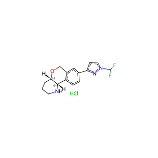 Cl.FC(F)n1ccc(-c2ccc3c(c2)CO[C@H]2CCCN[C@@H]32)n1